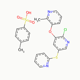 Cc1ccc(S(=O)(=O)O)cc1.Cc1ncccc1Oc1cc(Sc2ccccn2)cnc1Cl